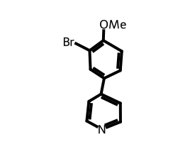 COc1ccc(-c2ccncc2)cc1Br